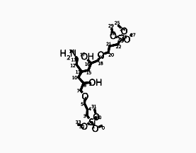 CO[Si](CCCOCC(O)CC(CCN)CC(O)COCCC[Si](OC)(OC)OC)(OC)OC